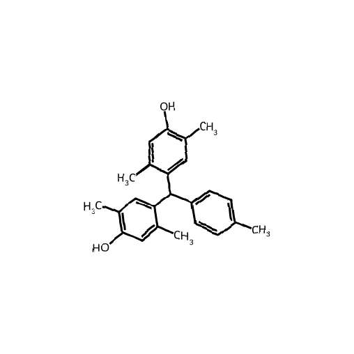 Cc1ccc(C(c2cc(C)c(O)cc2C)c2cc(C)c(O)cc2C)cc1